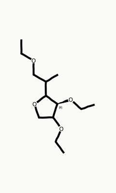 CCOCC(C)C1OCC(OCC)[C@@H]1OCC